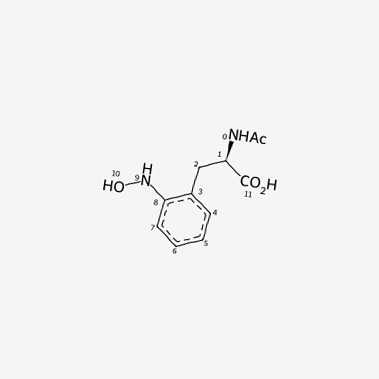 CC(=O)N[C@H](Cc1ccccc1NO)C(=O)O